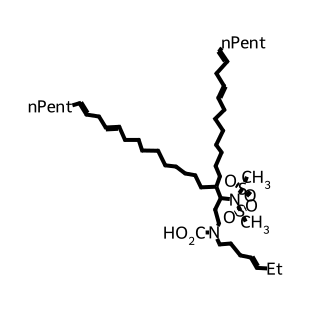 CCC=CCCCN(CCC(C(CCCCCCCC=CCC=CCCCCC)CCCCCCCCCC=CCC=CCCCCC)N(S(C)(=O)=O)S(C)(=O)=O)C(=O)O